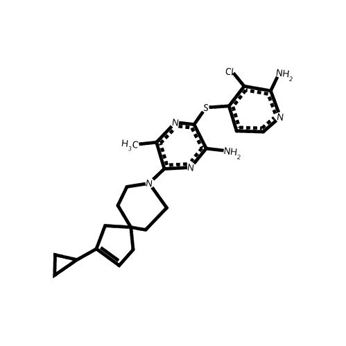 Cc1nc(Sc2ccnc(N)c2Cl)c(N)nc1N1CCC2(CC=C(C3CC3)C2)CC1